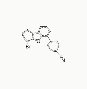 N#Cc1ccc(-c2cccc3c2oc2c(Br)cccc23)cc1